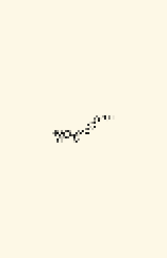 O=C(OCCOc1ccc(OCCO)cc1)c1ccc(O)c(Cl)c1